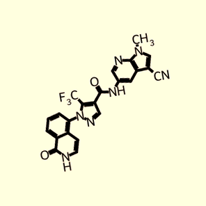 Cn1cc(C#N)c2cc(NC(=O)c3cnn(-c4cccc5c(=O)[nH]ccc45)c3C(F)(F)F)cnc21